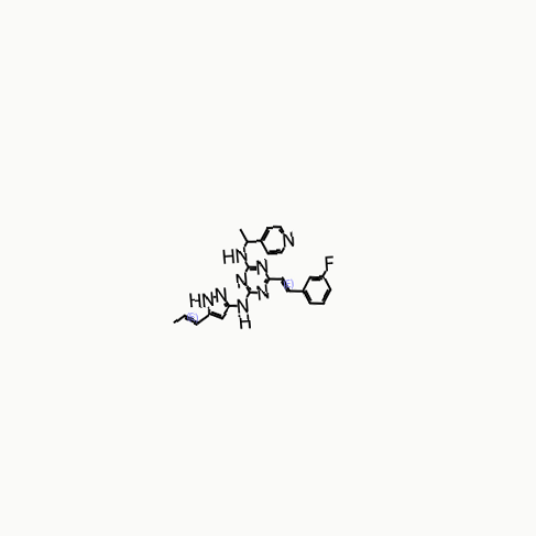 C/C=C/c1cc(Nc2nc(/C=C/c3cccc(F)c3)nc(NC(C)c3ccncc3)n2)n[nH]1